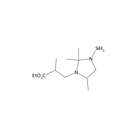 CCOC(=O)C(C)CN1C(C)CN([SiH3])C1(C)C